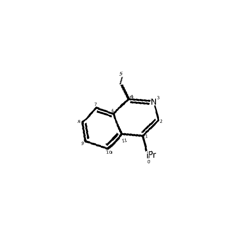 CC(C)c1cnc(I)c2ccccc12